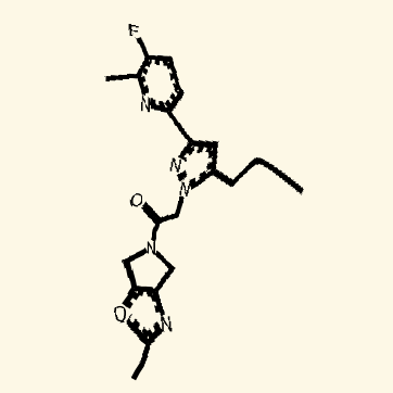 CCCc1cc(-c2ccc(F)c(C)n2)nn1CC(=O)N1Cc2nc(C)oc2C1